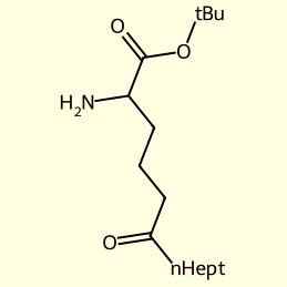 CCCCCCCC(=O)CCCC(N)C(=O)OC(C)(C)C